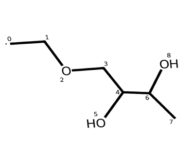 [CH2]COCC(O)C(C)O